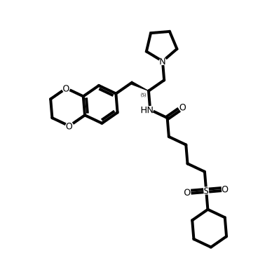 O=C(CCCCS(=O)(=O)C1CCCCC1)N[C@@H](Cc1ccc2c(c1)OCCO2)CN1CCCC1